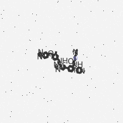 Cc1cc(Nc2ncnc3cc(-c4ccc(N5CCN(C)CC5)c(NC(=O)/C=C/CN(C)C)c4)sc23)ccc1Oc1ccn2ncnc2c1